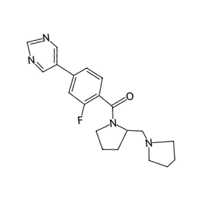 O=C(c1ccc(-c2cncnc2)cc1F)N1CCCC1CN1CCCC1